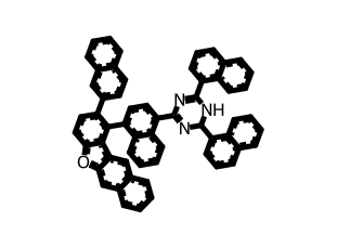 c1ccc2cc(-c3ccc4oc5cc6ccccc6cc5c4c3-c3ccc(C4=NC(c5cccc6ccccc56)NC(c5cccc6ccccc56)=N4)c4ccccc34)ccc2c1